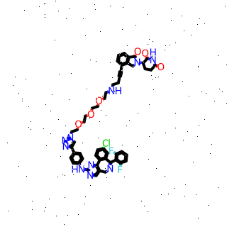 O=C1CCC(N2Cc3c(C#CCCNCCOCCOCCOCCn4cc(-c5ccc(Nc6ncc7c(n6)-c6ccc(Cl)cc6C(c6c(F)cccc6F)=NC7)cc5)nn4)cccc3C2=O)C(=O)N1